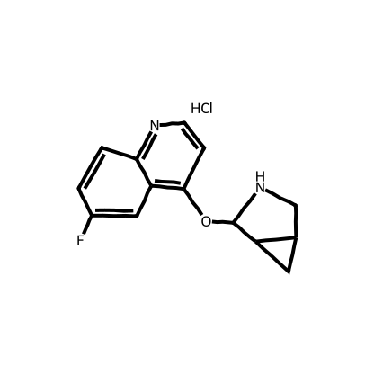 Cl.Fc1ccc2nccc(OC3NCC4CC43)c2c1